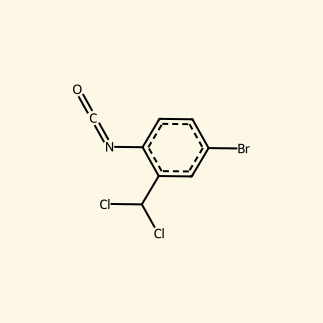 O=C=Nc1ccc(Br)cc1C(Cl)Cl